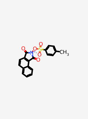 Cc1ccc(S(=O)(=O)O[N+]2C(=O)c3ccc4ccccc4c3C2=O)cc1